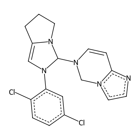 Clc1ccc(Cl)c(N2C=C3CCCN3C2N2C=Cc3nccn3C2)c1